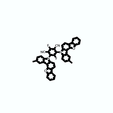 Cc1ccc2c(c1)c1c3oc4ccccc4c3ccc1n2-c1c(F)c(-n2c3ccc(C)cc3c3c4oc5ccccc5c4ccc32)c(C#N)c(F)c1C#N